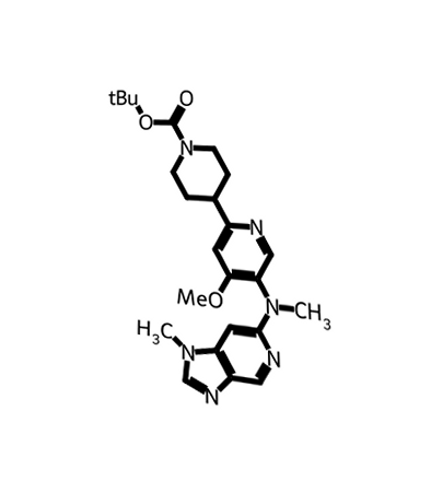 COc1cc(C2CCN(C(=O)OC(C)(C)C)CC2)ncc1N(C)c1cc2c(cn1)ncn2C